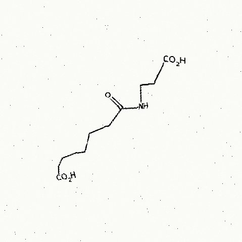 O=C(O)CCCCC(=O)NCCC(=O)O